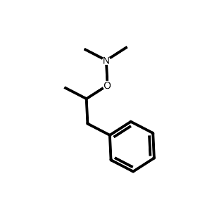 CC(Cc1ccccc1)ON(C)C